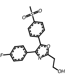 CS(=O)(=O)c1ccc(-c2oc(CCO)nc2-c2ccc(F)cc2)cc1